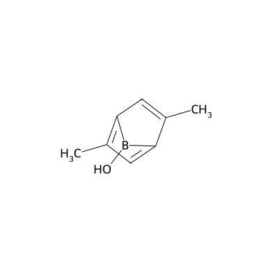 CC1=CC2=C(C)C=C1B2O